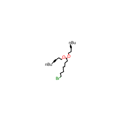 CCCCC#CCCOC(CCCCCCCBr)OCCC#CCCCC